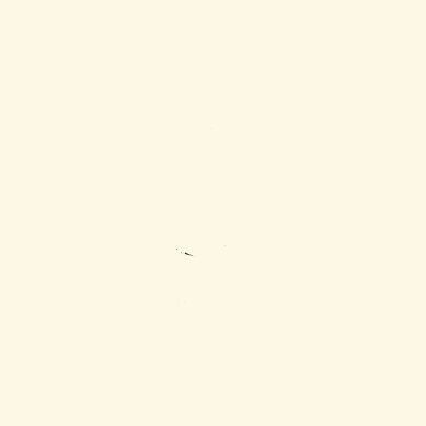 N[C@H](CS)C(=O)OCc1ccccc1